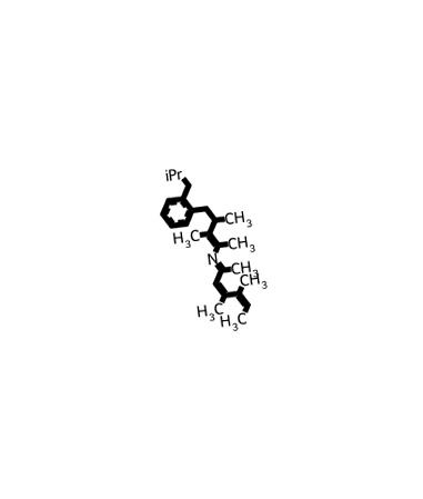 C\C=C(C)/C(C)=C\C(C)=N\C(C)=C(/C)C(C)Cc1ccccc1CC(C)C